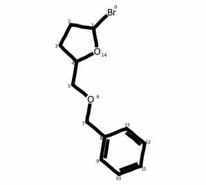 BrC1CCC(COCc2ccccc2)O1